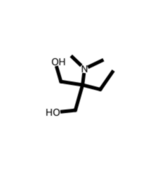 CCC(CO)(CO)N(C)C